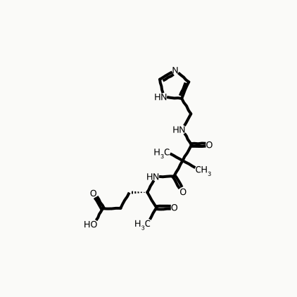 CC(=O)[C@H](CCC(=O)O)NC(=O)C(C)(C)C(=O)NCc1cnc[nH]1